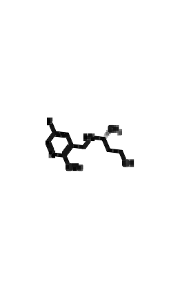 COc1ncc(F)cc1CN[C@H](C)CCO